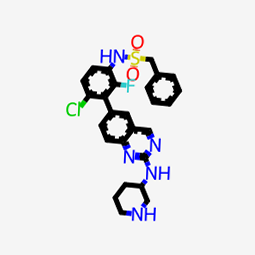 O=S(=O)(Cc1ccccc1)Nc1ccc(Cl)c(-c2ccc3nc(NC4CCCNC4)ncc3c2)c1F